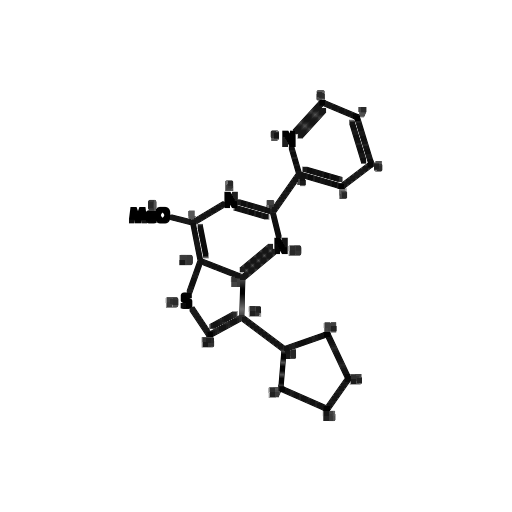 COc1nc(-c2ccccn2)nc2c(C3CCCC3)csc12